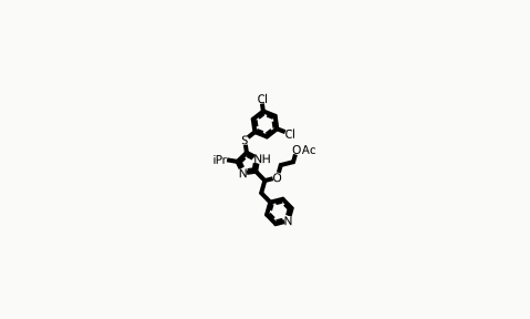 CC(=O)OCCOC(Cc1ccncc1)c1nc(C(C)C)c(Sc2cc(Cl)cc(Cl)c2)[nH]1